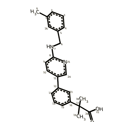 Cc1cccc(CNc2ccc(-c3cccc(C(C)(C)C(=O)O)c3)cn2)c1